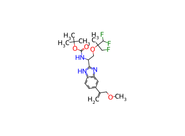 C=C(COC)c1ccc2[nH]c(C(COC(C)(CF)C(F)F)NC(=O)OC(C)(C)C)nc2c1